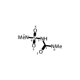 CNC(=O)NS(=O)(=O)NC